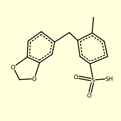 Cc1ccc(S(=O)(=O)S)cc1Cc1ccc2c(c1)OCO2